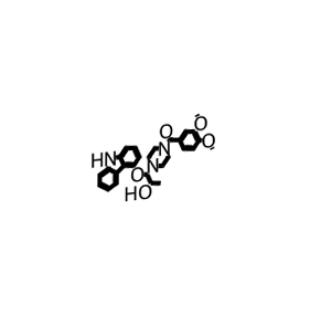 COc1ccc(C(=O)N2CCN(C(Oc3cccc4[nH]c5ccccc5c34)C(C)O)CC2)cc1OC